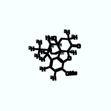 [2H]c1c([2H])c2c3c(c1OC)OC1([2H])C(=O)C([2H])([2H])C[C@@]4(O)[C@H](N(C([2H])([2H])[2H])CC[C@]314)C2([2H])[2H]